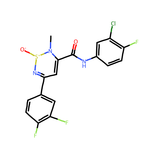 CN1C(C(=O)Nc2ccc(F)c(Cl)c2)=CC(c2ccc(F)c(F)c2)=N[S+]1[O-]